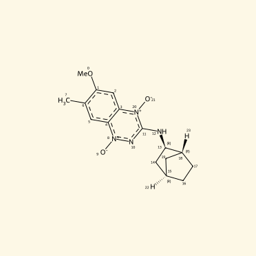 COc1cc2c(cc1C)[n+]([O-])nc(N[C@@H]1C[C@@H]3CC[C@@H]1C3)[n+]2[O-]